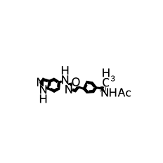 CC(=O)N[C@H](C)c1ccc(-c2cnc(Nc3ccc4[nH]ncc4c3)o2)cc1